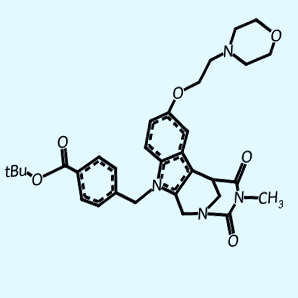 CN1C(=O)C2CN(Cc3c2c2cc(OCCN4CCOCC4)ccc2n3Cc2ccc(C(=O)OC(C)(C)C)cc2)C1=O